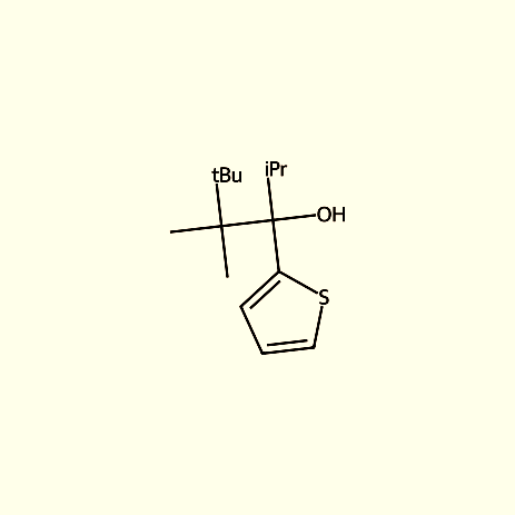 CC(C)C(O)(c1cccs1)C(C)(C)C(C)(C)C